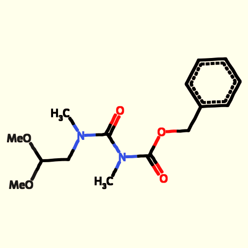 COC(CN(C)C(=O)N(C)C(=O)OCc1ccccc1)OC